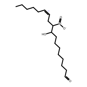 CCCCC/C=C\CC(C(O)CCCCCCCC=O)[N+](=O)[O-]